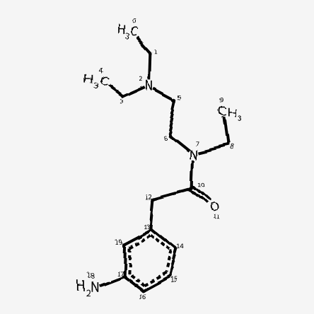 CCN(CC)CCN(CC)C(=O)Cc1cccc(N)c1